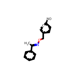 C/C(=N\OCc1ccc(N=O)cc1)c1ccccc1